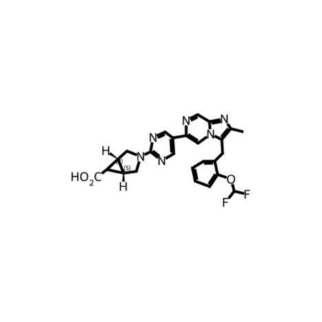 Cc1nc2cnc(-c3cnc(N4C[C@@H]5C(C(=O)O)[C@@H]5C4)nc3)cn2c1Cc1ccccc1OC(F)F